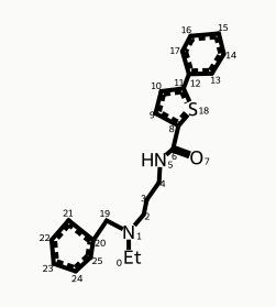 CCN(CCCNC(=O)c1ccc(-c2ccccc2)s1)Cc1ccccc1